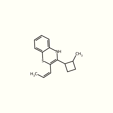 C/C=C\C1=C(C2CCC2C)Nc2ccccc2S1